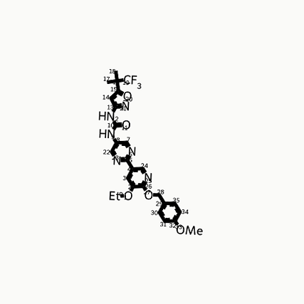 CCOc1cc(-c2ncc(NC(=O)Nc3cc(C(C)(C)C(F)(F)F)on3)cn2)cnc1OCc1ccc(OC)cc1